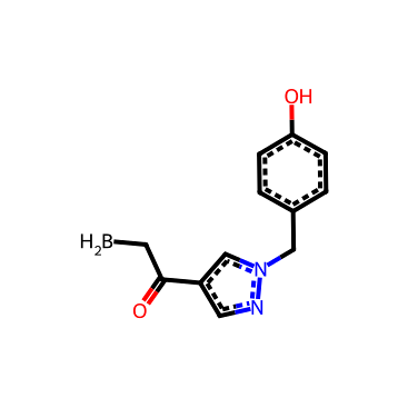 BCC(=O)c1cnn(Cc2ccc(O)cc2)c1